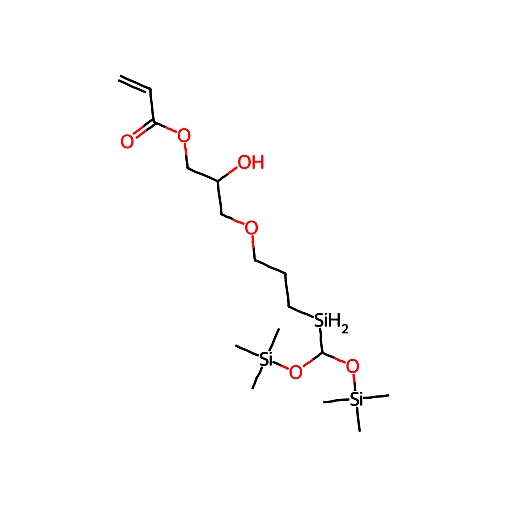 C=CC(=O)OCC(O)COCCC[SiH2]C(O[Si](C)(C)C)O[Si](C)(C)C